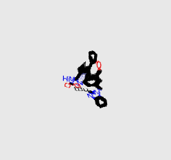 C/C(=C1/c2ccc(Cn3c(C(C)(C)C)nc4ccccc43)cc2COc2ccccc21)c1noc(=O)[nH]1